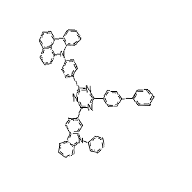 c1ccc(-c2ccc(-c3nc(-c4ccc(N5c6ccccc6-c6cccc7cccc5c67)cc4)nc(-c4ccc5c6ccccc6n(-c6ccccc6)c5c4)n3)cc2)cc1